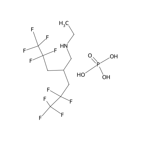 CCNCC(CC(F)(F)C(F)(F)F)CC(F)(F)C(F)(F)F.O=P(O)(O)O